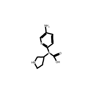 Nc1ccc(N(C(=O)O)C2CCNC2)nc1